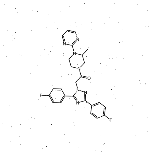 CC1CN(C(=O)Cn2nc(-c3ccc(F)cc3)nc2-c2ccc(F)cc2)CCN1c1ncccn1